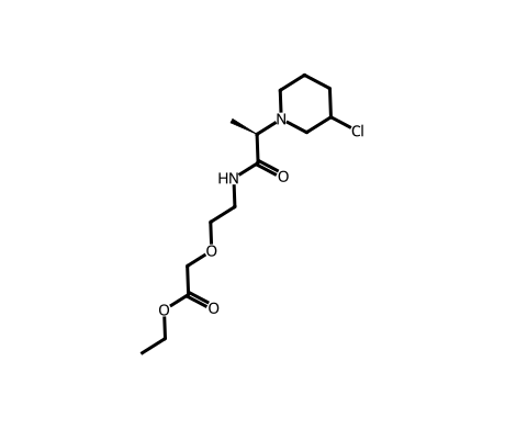 CCOC(=O)COCCNC(=O)[C@@H](C)N1CCCC(Cl)C1